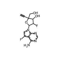 C#CC1(CO)OC(n2cc(F)c3c(N)ncnc32)C(F)C1O